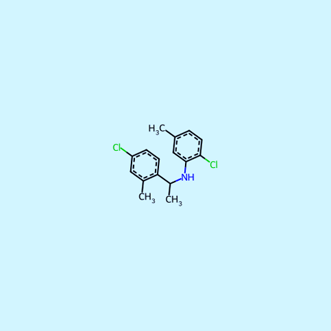 Cc1ccc(Cl)c(NC(C)c2ccc(Cl)cc2C)c1